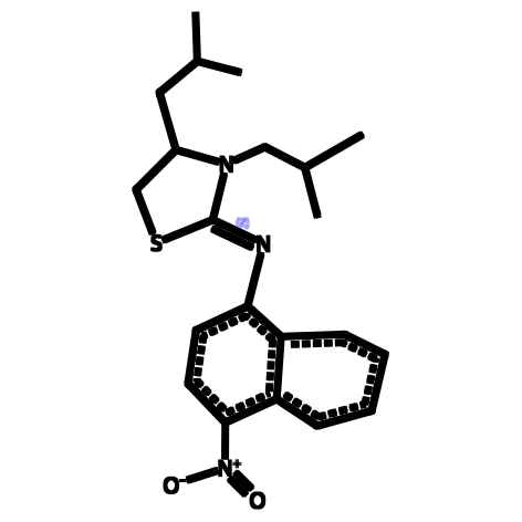 CC(C)CC1CS/C(=N\c2ccc([N+](=O)[O-])c3ccccc23)N1CC(C)C